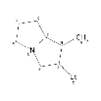 CCC1CN2CCCC2C1C